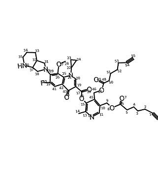 C#CCCCCC(=O)OCc1cnc(C)c(OC(=O)c2cn(C3CC3)c3c(OC)c(N4CC5CCCNC5C4)c(F)cc3c2=O)c1COC(=O)CCCCC#C